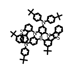 CC(C)(C)c1ccc(N(c2ccc(C(C)(C)C)cc2)c2ccc3c(c2)N(c2cccc4sc5ccccc5c24)c2cc(N(c4ccc(C(C)(C)C)cc4)c4ccc(C(C)(C)C)cc4)cc4c2B3c2cc(C(C)(C)C)cc3c5sc6ccccc6c5n-4c23)cc1